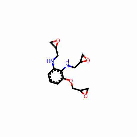 c1cc(NCC2CO2)c(NCC2CO2)c(OCC2CO2)c1